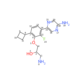 NCC(O)COc1c(C2CCC2)ccc(-c2cnc(N)cn2)c1F